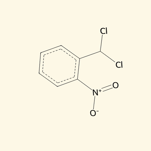 O=[N+]([O-])c1ccccc1C(Cl)Cl